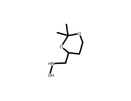 CC1(C)OCCC(CNO)O1